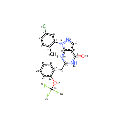 Cc1ccc(Cl)cc1-n1ncc2c(=O)[nH]c(Cc3ccccc3OC(F)(F)F)nc21